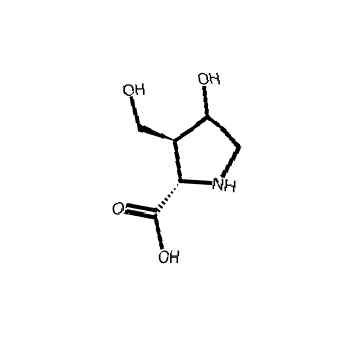 O=C(O)[C@H]1NCC(O)[C@@H]1CO